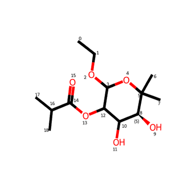 CCOC1OC(C)(C)[C@@H](O)C(O)C1OC(=O)C(C)C